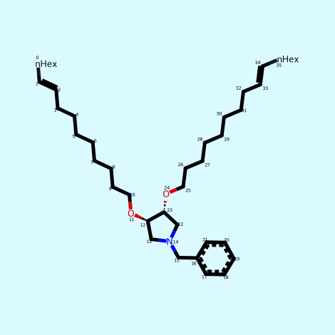 CCCCCCC=CCCCCCCCCO[C@@H]1CN(Cc2ccccc2)C[C@H]1OCCCCCCCCC=CCCCCCC